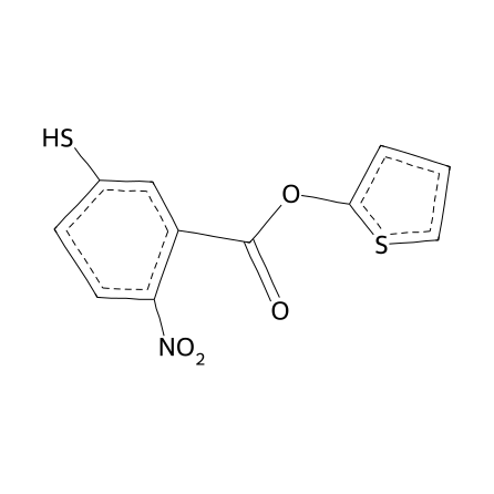 O=C(Oc1cccs1)c1cc(S)ccc1[N+](=O)[O-]